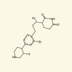 CCc1cc(C2CCNCC2F)ccc1CCC(C(C)=O)C1CCC(=O)NC1=O